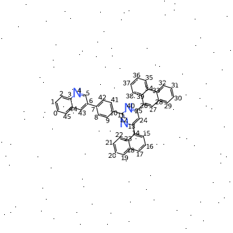 c1ccc2ncc(-c3ccc(-c4nc(-c5cccc6ccccc56)cc(-c5cc6ccccc6c6ccccc56)n4)cc3)cc2c1